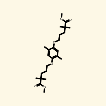 COC(=O)C(C)(C)CCCOc1cc(C)c(OCCCC(C)(C)C(=O)OC)cc1C